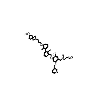 Cc1c(COc2cc(OCc3cccnc3)c(CNCCN=O)cc2Cl)cccc1-c1cccc(OCCCN2CC3(CCC(O)C3)C2)c1C